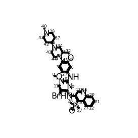 COc1cc2c(cc1Nc1ncc(Br)c(Nc3cnc4ccccc4c3P(C)(C)=O)n1)OCC1CN(C3CCN(C)CC3)CCN21